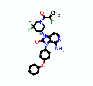 C=C(F)C(=O)N1C[C@@H](n2c(=O)n(-c3ccc(Oc4ccccc4)cc3)c3c(N)nccc32)CC(F)(F)C1